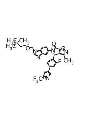 Cc1noc2c1C(c1ccc(-c3cnn(C(F)(F)F)c3)cc1F)N(c1ccc3c(c1)ncn3COCC[Si](C)(C)C)C2=O